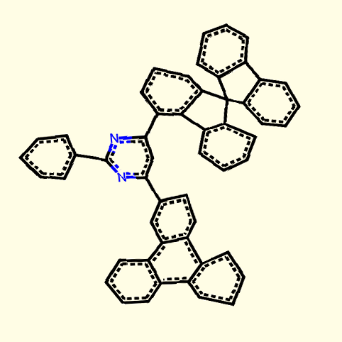 c1ccc(-c2nc(-c3ccc4c5ccccc5c5ccccc5c4c3)cc(-c3cccc4c3-c3ccccc3C43c4ccccc4-c4ccccc43)n2)cc1